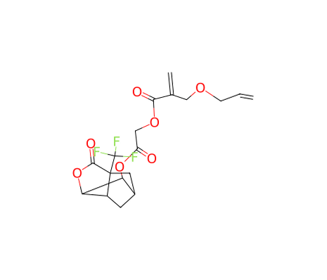 C=CCOCC(=C)C(=O)OCC(=O)OC1C2CC3C1OC(=O)C3(C(F)(F)F)C2